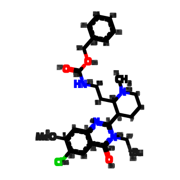 COc1cc2nc(C3CCCN(C)C3CCNC(=O)OCc3ccccc3)n(CC(C)(C)C)c(=O)c2cc1Cl